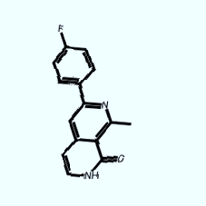 Cc1nc(-c2ccc(F)cc2)cc2cc[nH]c(=O)c12